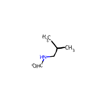 CC(C)CN[C]=O